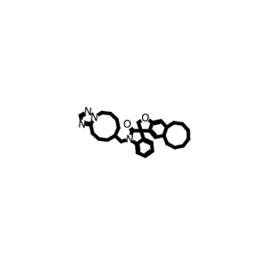 O=C1N(CC2CCCCn3ncnc3CCC2)c2ccccc2C12COC1=CC3CCCCCCCC3C=C12